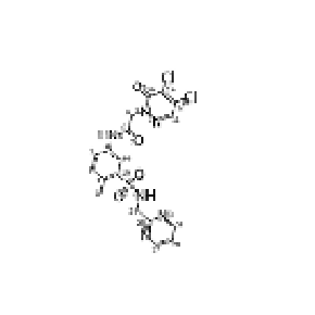 Cc1ccc(NC(=O)Cn2ncc(Cl)c(Cl)c2=O)cc1S(=O)(=O)NCc1ncccn1